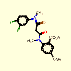 CCOC(=O)c1cc(OC)ccc1N(C)C(=O)CC(=S)N(C)c1ccc(F)c(F)c1